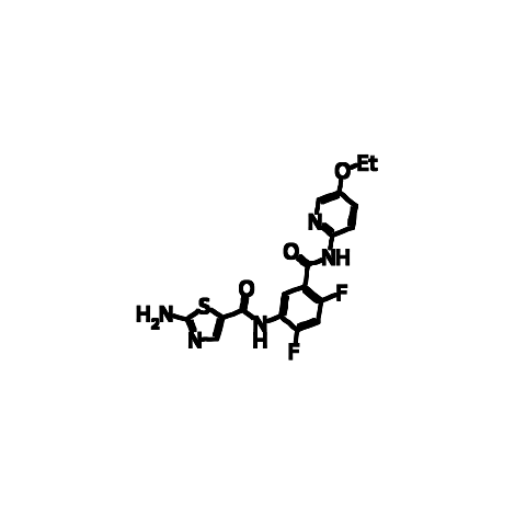 CCOc1ccc(NC(=O)c2cc(NC(=O)c3cnc(N)s3)c(F)cc2F)nc1